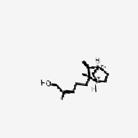 C=C1[C@H]2CC[C@H](C2)C1(C)CCC=C(C)CO